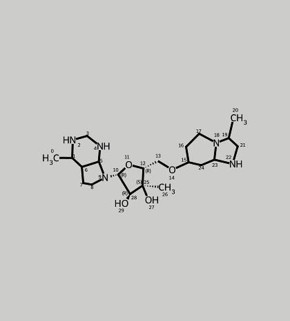 CC1NCNC2C1CCN2[C@@H]1O[C@H](COC2CCN3C(C)CNC3C2)[C@@](C)(O)[C@H]1O